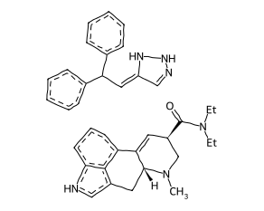 C1=NNNC1=CC(c1ccccc1)c1ccccc1.CCN(CC)C(=O)[C@@H]1C=C2c3cccc4[nH]cc(c34)C[C@H]2N(C)C1